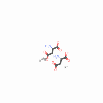 N[C@@H](CC(=O)[O-])C(=O)[O-].N[C@@H](CC(=O)[O-])C(=O)[O-].[K+].[K+].[Mg+2]